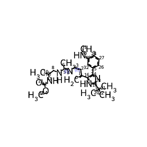 C=C(/C=C\N=C(/C)NC[C@H](C)NC(=O)OC)c1[nH]c(C(C)(C)C)nc1-c1cccc(NC)c1